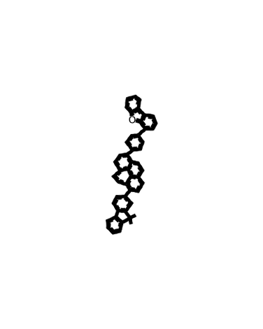 CC1(C)c2ccccc2-c2ccc(-c3ccc4ccc5c(-c6ccc(-c7cccc8c7oc7ccccc78)cc6)ccc6ccc3c4c65)cc21